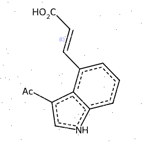 CC(=O)c1c[nH]c2cccc(/C=C/C(=O)O)c12